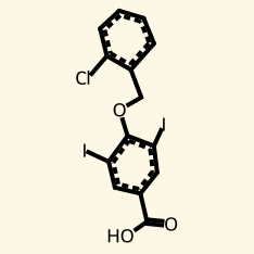 O=C(O)c1cc(I)c(OCc2ccccc2Cl)c(I)c1